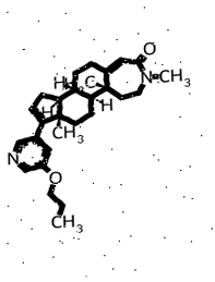 CCCOc1cncc(C2=CC[C@H]3[C@@H]4CCC5=CC(=O)N(C)CC[C@]5(C)[C@H]4CC[C@]23C)c1